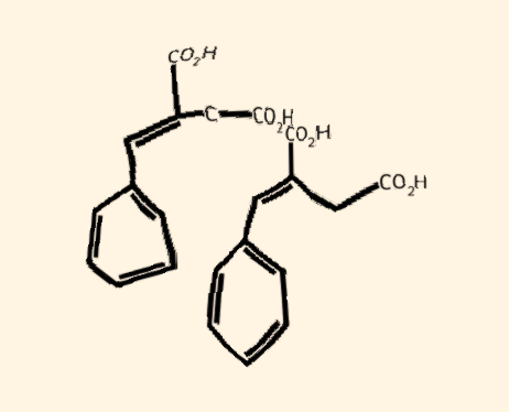 O=C(O)CC(=Cc1ccccc1)C(=O)O.O=C(O)CC(=Cc1ccccc1)C(=O)O